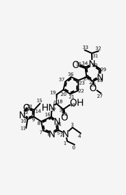 CCN(CC)c1ncc(-c2c(C)noc2C)c(N[C@@H](Cc2ccc(-c3c(OC)ncn(C(C)C)c3=O)cc2)C(=O)O)n1